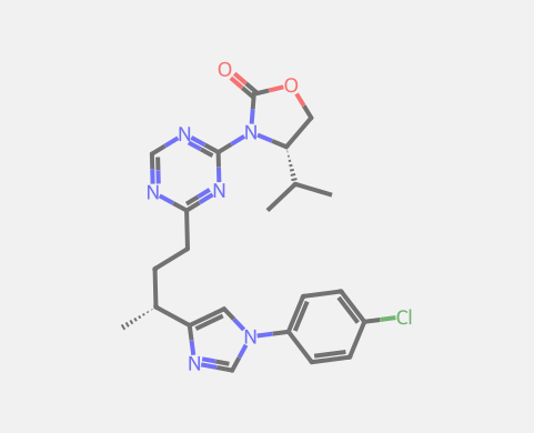 CC(C)[C@H]1COC(=O)N1c1ncnc(CC[C@@H](C)c2cn(-c3ccc(Cl)cc3)cn2)n1